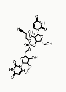 COC1C(O)[C@@H](COP(=S)(OCCC#N)OC2C(OC)[C@H](n3ccc(=O)[nH]c3=O)O[C@@H]2CO)O[C@H]1n1ccc(=O)[nH]c1=O